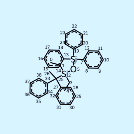 CC[Si](CC)(O[Si](c1ccccc1)(c1ccccc1)c1ccccc1)C(C)(c1ccccc1)c1ccccc1